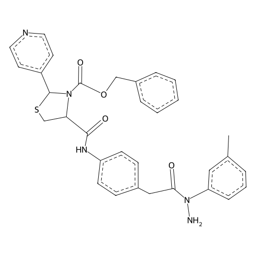 Cc1cccc(N(N)C(=O)Cc2ccc(NC(=O)C3CSC(c4ccncc4)N3C(=O)OCc3ccccc3)cc2)c1